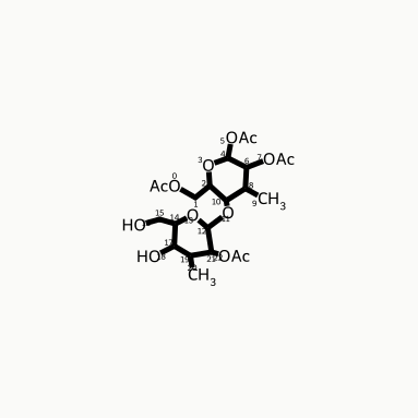 CC(=O)OCC1OC(OC(C)=O)C(OC(C)=O)C(C)C1OC1OC(CO)C(O)C(C)C1OC(C)=O